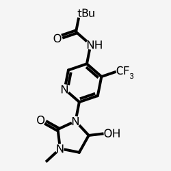 CN1CC(O)N(c2cc(C(F)(F)F)c(NC(=O)C(C)(C)C)cn2)C1=O